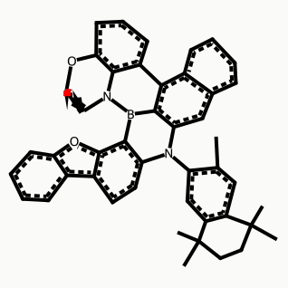 Cc1cc2c(cc1N1c3cc4ccccc4c4c3B(c3c1ccc1c3oc3ccccc31)N1c3ccccc3Oc3cccc-4c31)C(C)(C)CCC2(C)C